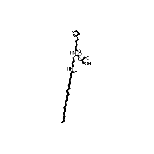 CCC=CCC=CCC=CCC=CCC=CCCCC(=O)NCCCC[C@H](NC(=O)CCCC[C@@H]1CCSS1)C(=O)OC(CO)CO